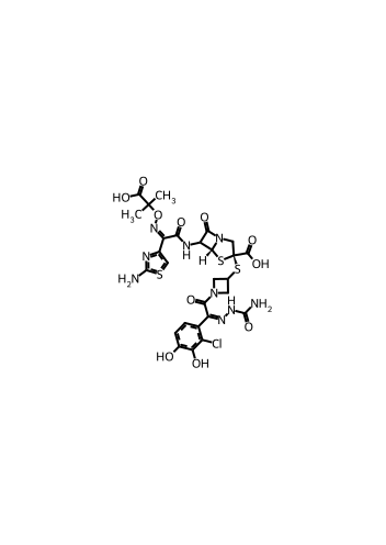 CC(C)(O/N=C(\C(=O)NC1C(=O)N2C[C@](SC3CN(C(=O)/C(=N\NC(N)=O)c4ccc(O)c(O)c4Cl)C3)(C(=O)O)S[C@H]12)c1csc(N)n1)C(=O)O